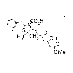 COC(=O)C[C@H](O)CC(=O)/C=C/[C@@H]1N(C(=O)O)C(Cc2ccccc2)SC1(C)C